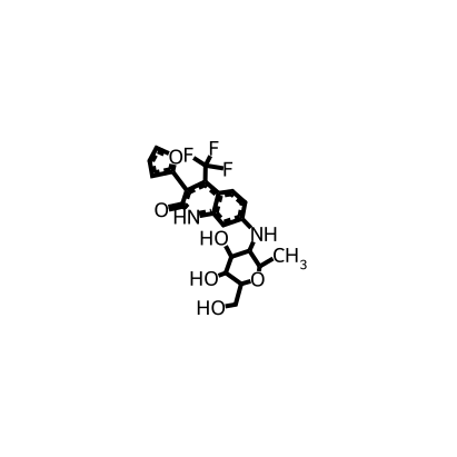 CC1OC(CO)C(O)C(O)C1Nc1ccc2c(C(F)(F)F)c(-c3ccco3)c(=O)[nH]c2c1